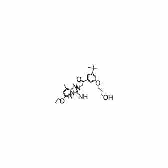 CCOc1cc(C)c2nn(CC(=O)c3cc(OCCCO)cc(C(C)(C)C)c3)c(=N)n2n1